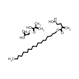 C=C(C)C(=O)O.C=C(CCNO)C(=O)OCCCCCCCCCCCCCCCCCC.C=CC(=O)O